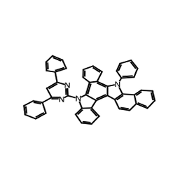 c1ccc(-c2cc(-c3ccccc3)nc(-n3c4ccccc4c4c5c6ccc7ccccc7c6n(-c6ccccc6)c5c5ccccc5c43)n2)cc1